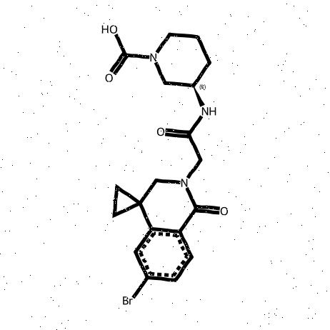 O=C(CN1CC2(CC2)c2cc(Br)ccc2C1=O)N[C@@H]1CCCN(C(=O)O)C1